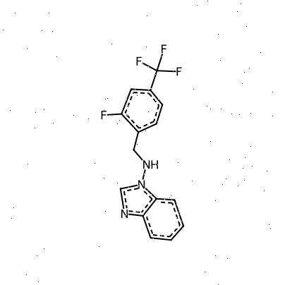 Fc1cc(C(F)(F)F)ccc1CNn1cnc2ccccc21